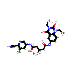 CCn1c(=O)c2cc(NC(=O)CC(C)CC(=O)Nc3cnc(C#N)c(Cl)c3)ccc2n(CC)c1=O